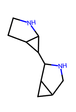 C1CC2C(N1)C2C1NCC2CC21